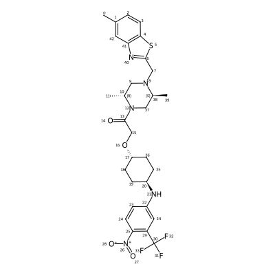 Cc1ccc2sc(CN3C[C@@H](C)N(C(=O)CO[C@H]4CC[C@H](Nc5ccc([N+](=O)[O-])c(C(F)(F)F)c5)CC4)C[C@@H]3C)nc2c1